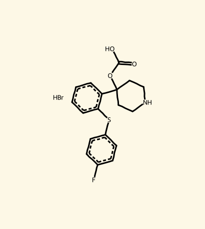 Br.O=C(O)OC1(c2ccccc2Sc2ccc(F)cc2)CCNCC1